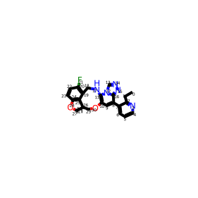 CCc1ncccc1-c1cc2c(n3cnnc13)NCc1c(F)ccc3c1[C@@H](CO3)CO2